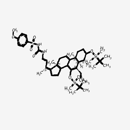 CC[C@H]1C(O[Si](C)(C)C(C)(C)C)C2C3CCC([C@H](C)CCNC(=O)NS(=O)(=O)c4ccc(OC)cc4)[C@@]3(C)CCC2[C@@]2(C)CCC(O[Si](C)(C)C(C)(C)C)[C@H](F)[C@@H]12